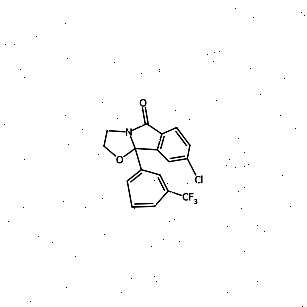 O=C1c2ccc(Cl)cc2C2(c3cccc(C(F)(F)F)c3)OCCN12